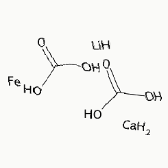 O=C(O)O.O=C(O)O.[CaH2].[Fe].[LiH]